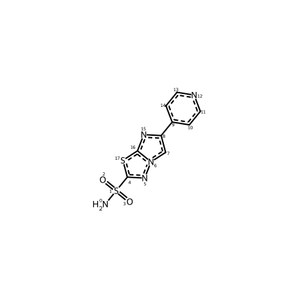 NS(=O)(=O)c1nn2cc(-c3ccncc3)nc2s1